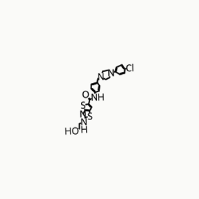 O=C(Nc1ccc(CN2CCN(c3ccc(Cl)cc3)CC2)cc1)c1cc2sc(NCCO)nc2s1